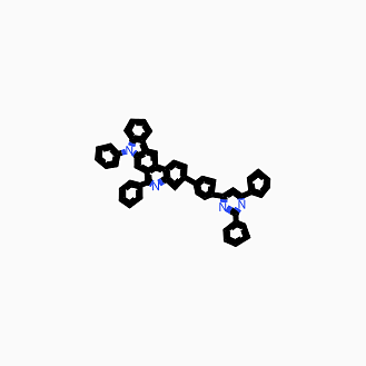 c1ccc(-c2cc(-c3ccc(-c4ccc5c(c4)nc(-c4ccccc4)c4cc6c(cc45)c4ccccc4n6-c4ccccc4)cc3)nc(-c3ccccc3)n2)cc1